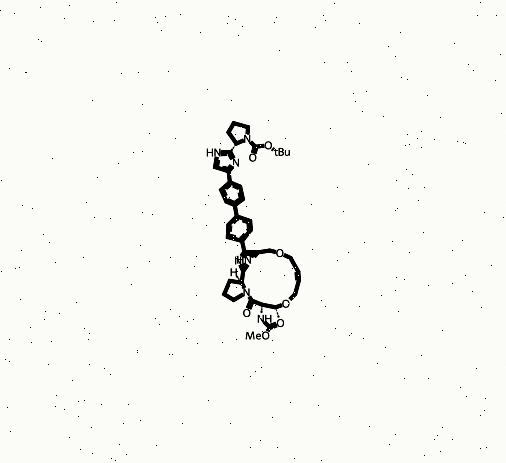 COC(=O)N[C@@H]1C(=O)N2CCC[C@H]2c2nc(-c3ccc(-c4ccc(-c5c[nH]c([C@@H]6CCCN6C(=O)OC(C)(C)C)n5)cc4)cc3)c([nH]2)COCC=CCO[C@@H]1C